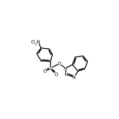 O=[N+]([O-])c1ccc(S(=O)(=O)On2nnc3ccccc32)cc1